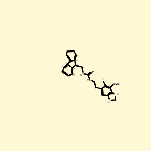 COc1c(I)c(CCNC(=O)OCC2c3ccccc3-c3ccccc32)cc2c1OCO2